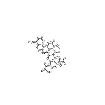 COc1cc([C@H](Nc2ccc3c(N)nccc3c2)C(=O)N2CCC[C@@H]2c2cc(N(C)C(=O)O)ccc2S(=O)(=O)C(C)C)ccc1F